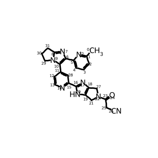 Cc1cccc(-c2nc3n(c2-c2ccnc(-c4nc5c([nH]4)CN(C(=O)CC#N)C5)c2)CCC3)n1